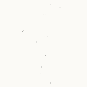 COc1cc(B2OC(C)(C)C(C)(C)O2)cn2cc(C3C4CN(C(=O)OC(C)(C)C)CC43)nc12